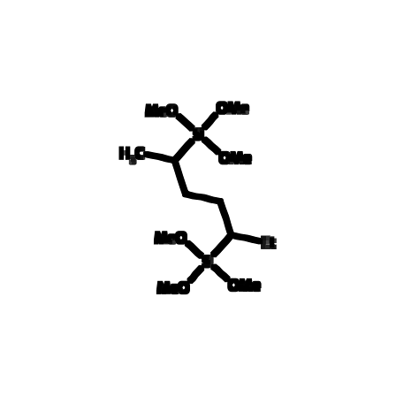 CCC(CCC(C)[Si](OC)(OC)OC)[Si](OC)(OC)OC